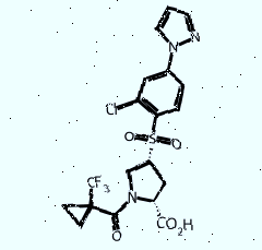 O=C(O)[C@H]1C[C@@H](S(=O)(=O)c2ccc(-n3cccn3)cc2Cl)CN1C(=O)C1(C(F)(F)F)CC1